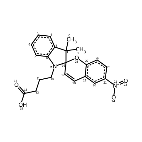 CC1(C)c2ccccc2N(CCCC(=O)O)C12C=Cc1cc([N+](=O)[O-])ccc1O2